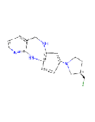 FC[C@@H]1CCN(c2ccc3c(c2)NCc2cccnc2N3)C1